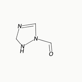 O=CN1C=NCN1